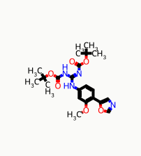 COc1cc(NC(=NC(=O)OC(C)(C)C)NC(=O)OC(C)(C)C)ccc1-c1cnco1